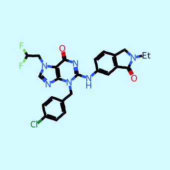 CCN1Cc2ccc(Nc3nc(=O)c4c(ncn4CC(F)F)n3Cc3ccc(Cl)cc3)cc2C1=O